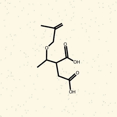 C=C(C)COC(C)C(CC(=O)O)C(=O)O